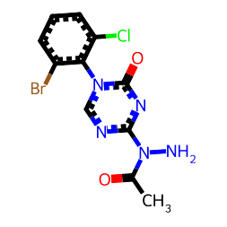 CC(=O)N(N)c1ncn(-c2c(Cl)cccc2Br)c(=O)n1